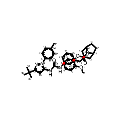 COc1ccccc1OC(=O)N1C2CCC1CC(Cc1cccc(NC(=O)Nc3cc(C(C)(C)C)nn3-c3ccc(C)cc3)c1)C2